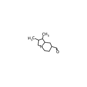 CC1CN2CCC(C=O)CC2C1C